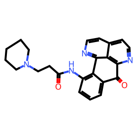 O=C(CCN1CCCCC1)Nc1cccc2c1-c1nccc3ccnc(c13)C2=O